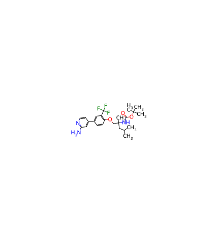 CC(C)CC(C)(COc1ccc(-c2ccnc(N)c2)cc1C(F)(F)F)NC(=O)OC(C)(C)C